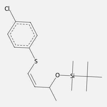 CC(/C=C\Sc1ccc(Cl)cc1)O[Si](C)(C)C(C)(C)C